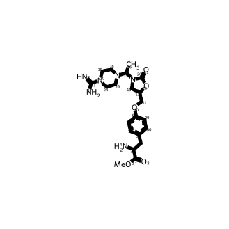 COC(=O)C(N)Cc1ccc(OCC2CN(C(C)N3CCN(C(=N)N)CC3)C(=O)O2)cc1